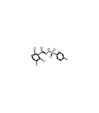 Cc1ccc(S(=O)(=O)N/N=C(\Cl)c2c(Cl)ccc(F)c2Cl)cc1